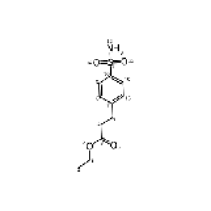 CCOC(=O)CCc1ccc(S(N)(=O)=O)cc1